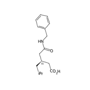 CC(C)C[C@H](CC(=O)O)CC(=O)NCc1ccccc1